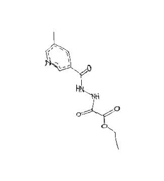 CCOC(=O)C(=O)NNC(=O)c1cncc(C)c1